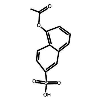 CC(=O)Oc1cccc2cc(S(=O)(=O)O)ccc12